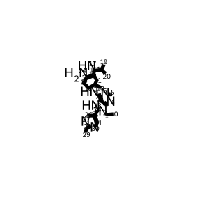 CCN1c2ncnc(NC3(C)CCC(N)=C(C(=N)C(C)C)C3)c2NC1c1cnc(C)nc1